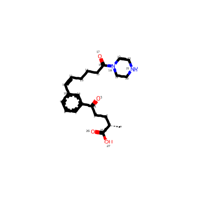 C[C@@H](CCC(=O)c1cccc(/C=C\CCCC(=O)N2CCNCC2)c1)C(=O)O